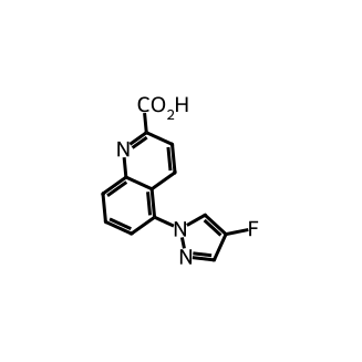 O=C(O)c1ccc2c(-n3cc(F)cn3)cccc2n1